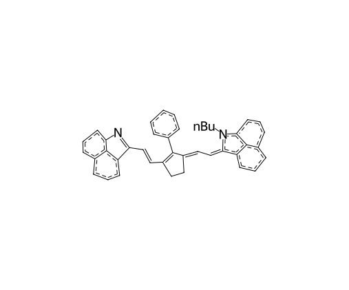 CCCCn1c(=CC=C2CCC(C=CC3=Nc4cccc5cccc3c45)=C2c2ccccc2)c2cccc3cccc1c32